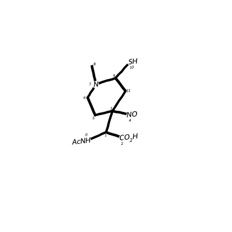 CC(=O)NC(C(=O)O)C1(N=O)CCN(C)C(S)C1